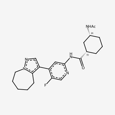 CC(=O)N[C@@H]1CCC[C@H](C(=O)Nc2cc(-c3cnn4c3CCCCC4)c(F)cn2)C1